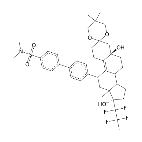 CN(C)S(=O)(=O)c1ccc(-c2ccc(C3CC4(C)C(CC[C@@]4(O)C(F)(F)C(C)(F)F)C4CC[C@@]5(O)CC6(CCC5=C34)OCC(C)(C)CO6)cc2)cc1